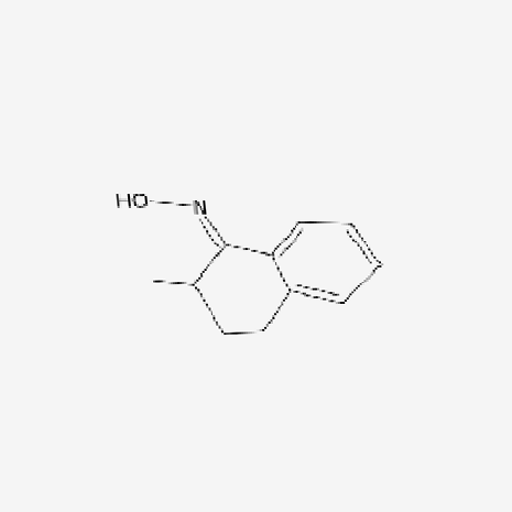 CC1CCc2ccccc2/C1=N/O